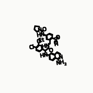 CCOc1cc(C(Nc2ccc3c(N)nccc3c2)C(=O)NCc2cc(NC(=O)N3CCCC3)ccc2[SH](=O)=O)ccc1Cl